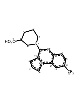 O=C(O)C1CCCN(c2nc3ccc(C(F)(F)F)cc3n3cccc23)C1